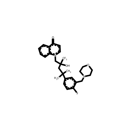 CC(C)(CC(O)(Cn1ccc(=O)c2ccccc21)C(F)(F)F)c1ccc(F)c(CN2CCOCC2)c1